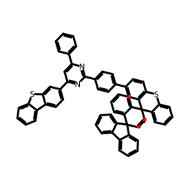 c1ccc(-c2cc(-c3ccc4c(c3)sc3ccccc34)nc(-c3ccc(-c4ccc5c(c4)C4(c6ccccc6S5)c5ccccc5C5(c6ccccc6-c6ccccc65)c5ccccc54)cc3)n2)cc1